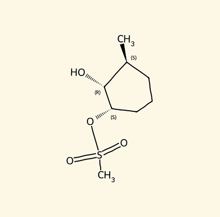 C[C@H]1CCC[C@H](OS(C)(=O)=O)[C@@H]1O